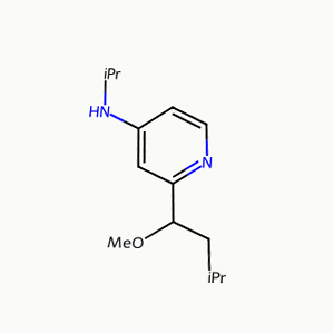 COC(CC(C)C)c1cc(NC(C)C)ccn1